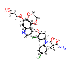 NC(=O)C1(C(=O)N(c2ccc(F)cc2)c2ccc(Oc3ccnc4cc(OCCCO)c5c(c34)OCCO5)c(F)c2)CC1